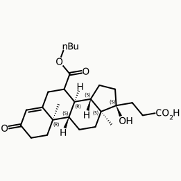 CCCCOC(=O)C1CC2=CC(=O)CC[C@]2(C)[C@H]2CC[C@@]3(C)[C@@H](CC[C@]3(O)CCC(=O)O)[C@H]12